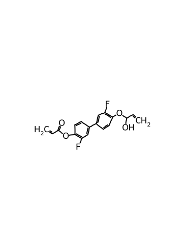 C=CC(=O)Oc1ccc(-c2ccc(OC(O)C=C)c(F)c2)cc1F